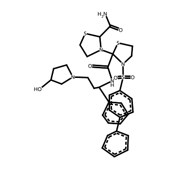 NC(=O)C1SCCN1C1(C(=O)NC(CCN2CCC(O)C2)c2ccccc2)SCCN1S(=O)(=O)c1ccc(-c2ccccc2)cc1